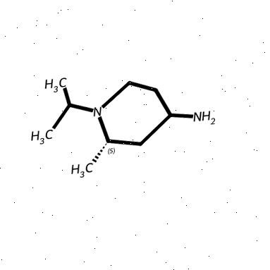 CC(C)N1CCC(N)C[C@@H]1C